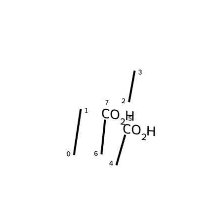 CC.CC.CC(=O)O.CC(=O)O